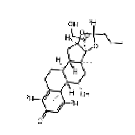 [2H]C1=CC(=O)C([2H])=C2CC[C@@H]3[C@H]([C@@H](O)C[C@@]4(C)[C@H]3C[C@H]3OC([2H])(CCC)O[C@]34C(=O)CO)[C@@]12C